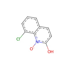 [O-][n+]1c(O)ccc2cccc(Cl)c21